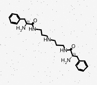 N[C@@H](Cc1ccccc1)C(=O)NCCCNCCCNC(=O)[C@@H](N)Cc1ccccc1